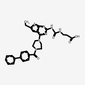 CCc1cc2c(N3CCN(C(=O)c4ccc(-c5ccccc5)cc4)CC3)nc(NC(=O)NCCC(=O)O)nc2s1